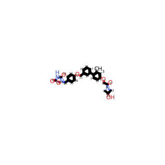 Cc1cc(OCC(=O)N2CC(O)C2)ccc1-c1cccc(COc2ccc(Cn3oc(=O)[nH]c3=O)cc2)c1